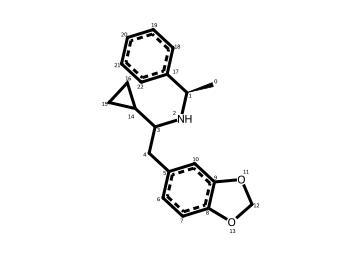 C[C@@H](NC(Cc1ccc2c(c1)OCO2)C1CC1)c1ccccc1